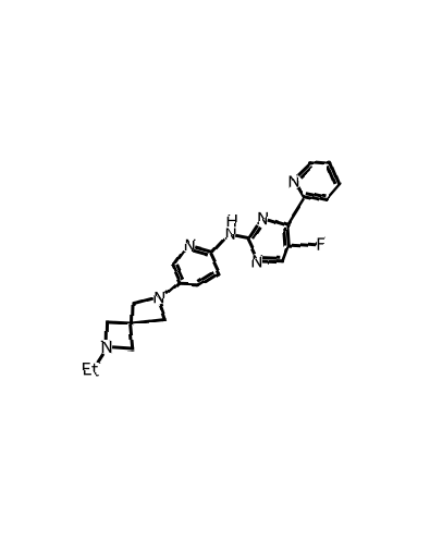 CCN1CC2(C1)CN(c1ccc(Nc3ncc(F)c(-c4ccccn4)n3)nc1)C2